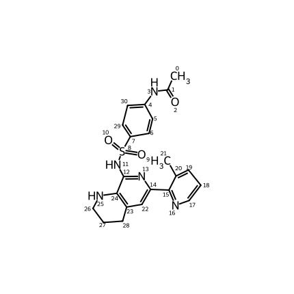 CC(=O)Nc1ccc(S(=O)(=O)Nc2nc(-c3ncccc3C)cc3c2NCCC3)cc1